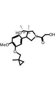 COc1ccc(C2CN(C(=O)CO)C[C@]2(C)[C@@H](C)O)cc1OCC1(C)CC1